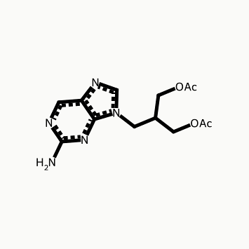 CC(=O)OCC(COC(C)=O)Cn1cnc2cnc(N)nc21